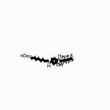 CCCCCCCCCCCCCCCCCCNc1ccc(NC(=O)C(F)(F)C(F)(F)C(F)(F)C(F)F)c(O)c1